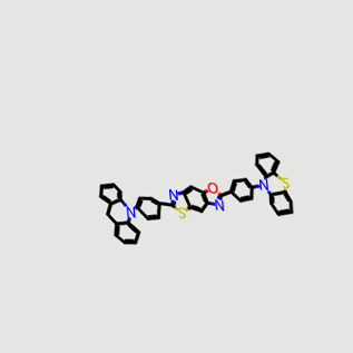 c1ccc2c(c1)Cc1ccccc1N2c1ccc(-c2nc3cc4oc(-c5ccc(N6c7ccccc7Sc7ccccc76)cc5)nc4cc3s2)cc1